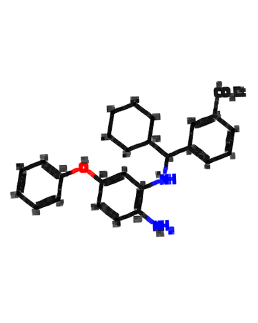 CCOC(=O)c1cccc(C(Nc2cc(Oc3ccccc3)ccc2N)C2CCCCC2)c1